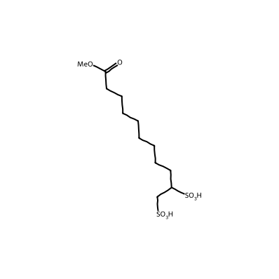 COC(=O)CCCCCCCCC(CS(=O)(=O)O)S(=O)(=O)O